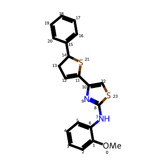 COc1ccccc1Nc1nc(C2=CCC(c3ccccc3)S2)cs1